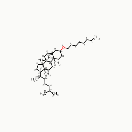 [CH2]CCCCCCCOC1CC[C@@]2(C)C(=CC[C@H]3[C@@H]4CC[C@H]([C@H](C)CCCC(C)C)[C@@]4(C)CC[C@@H]32)C1